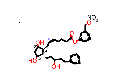 O=C(CCC/C=C\C[C@H]1[C@H](CCC(O)CCc2ccccc2)[C@@H](O)C[C@H]1O)Oc1cccc(CO[N+](=O)[O-])c1